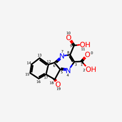 O=C(O)c1nc2c(nc1C(=O)O)-c1ccccc1C2=O